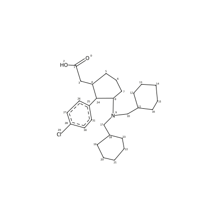 O=C(O)CC1CCCC(N(CC2CCCCC2)CC2CCCCC2)C1c1ccc(Cl)cc1